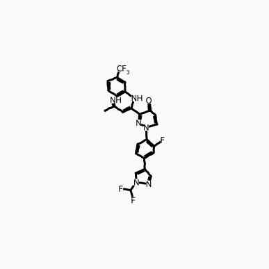 CC(=N)/C=C(\Nc1cccc(C(F)(F)F)c1)c1nn(-c2ccc(-c3cnn(C(F)F)c3)cc2F)ccc1=O